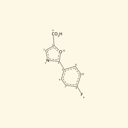 O=C(O)c1cnc(-c2ccc(F)cc2)o1